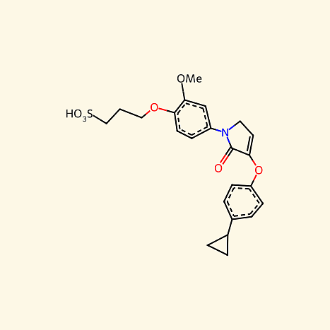 COc1cc(N2CC=C(Oc3ccc(C4CC4)cc3)C2=O)ccc1OCCCS(=O)(=O)O